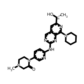 C[C@@H](O)c1cc2cnc(Nc3ccc(N4CCN(C)CC4=O)cn3)nc2c(N2CCCCC2)n1